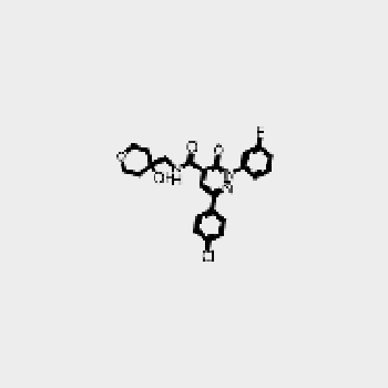 O=C(NCC1(O)CCOCC1)c1cc(-c2ccc(Cl)cc2)nn(-c2cccc(F)c2)c1=O